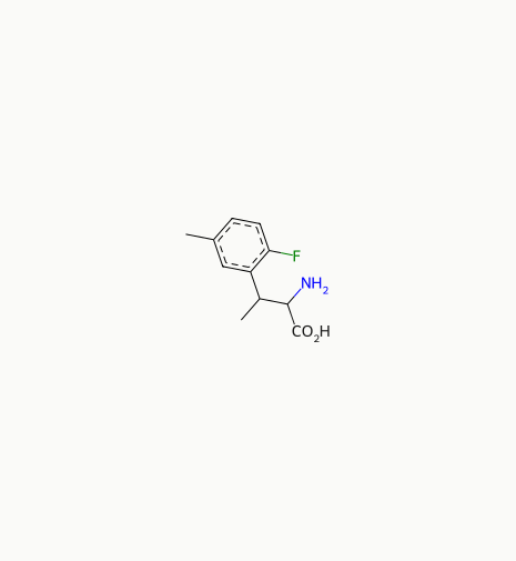 Cc1ccc(F)c(C(C)C(N)C(=O)O)c1